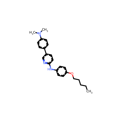 CCCCCOc1ccc(Nc2ccc(-c3ccc(N(C)C)cc3)cn2)cc1